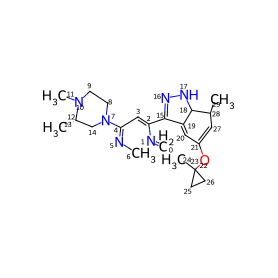 C=N/C(=C\C(=N/C)N1CCN(C)[C@@H](C)C1)C1=NNC2C1=CC(OC1(C)CC1)=CC2C